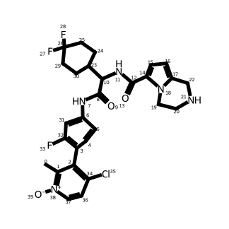 Cc1c(-c2ccc(NC(=O)C(NC(=O)c3ccc4n3CCNC4)C3CCC(F)(F)CC3)cc2F)c(Cl)cc[n+]1[O-]